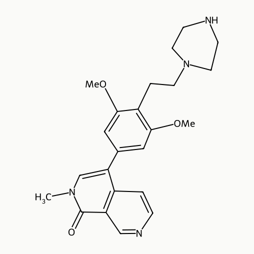 COc1cc(-c2cn(C)c(=O)c3cnccc23)cc(OC)c1CCN1CCNCC1